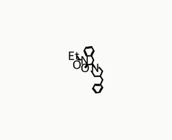 CCC(=O)N1C(=O)C(N2CCC(Cc3ccccc3)CC2)Cc2ccccc21